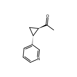 CC(=O)[C@@H]1C[C@H]1c1cccnc1